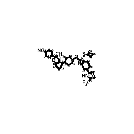 CC1(c2ccc(C#N)cn2)Oc2cccc(C3CCN(Cc4nc5cc(-c6nnc(C(F)(F)F)[nH]6)ccc5n4C[C@@H]4CCO4)CC3)c2O1